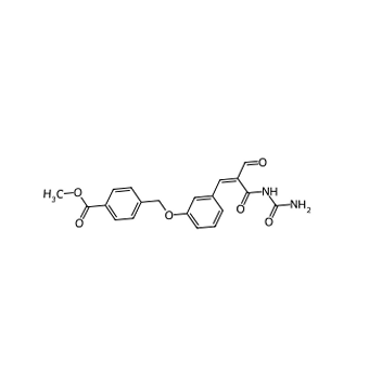 COC(=O)c1ccc(COc2cccc(/C=C(/C=O)C(=O)NC(N)=O)c2)cc1